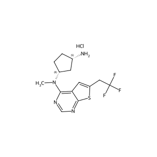 CN(c1ncnc2sc(CC(F)(F)F)cc12)[C@@H]1CC[C@H](N)C1.Cl